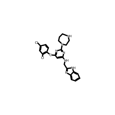 Clc1ccc(Oc2cc(NCc3nc4ccccc4[nH]3)nc(N3CCCNCC3)n2)c(Cl)c1